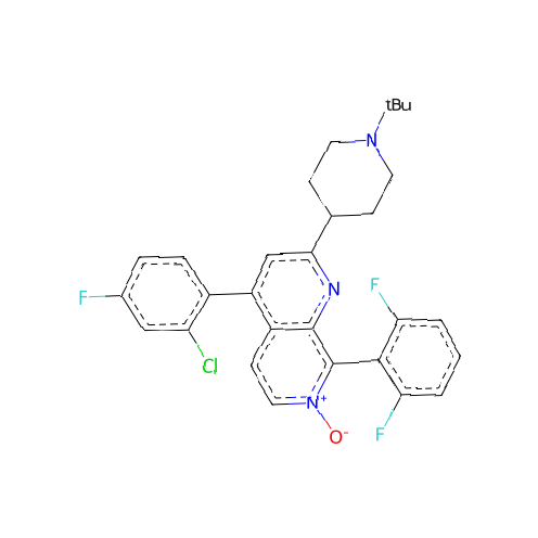 CC(C)(C)N1CCC(c2cc(-c3ccc(F)cc3Cl)c3cc[n+]([O-])c(-c4c(F)cccc4F)c3n2)CC1